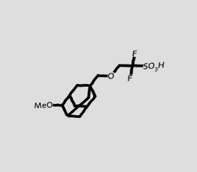 COC1C2CC3CC1CC(COCC(F)(F)S(=O)(=O)O)(C3)C2